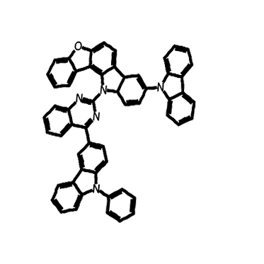 C1=CC2C(C=C1n1c3ccccc3c3ccccc31)c1ccc3oc4ccccc4c3c1N2c1nc(-c2ccc3c(c2)c2ccccc2n3-c2ccccc2)c2ccccc2n1